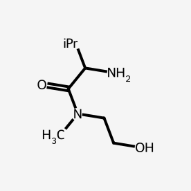 CC(C)C(N)C(=O)N(C)CCO